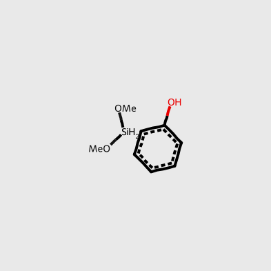 CO[SiH2]OC.Oc1ccccc1